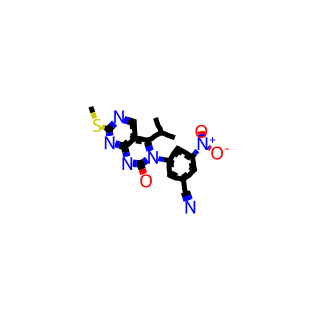 CSc1ncc2c(C(C)C)n(-c3cc(C#N)cc([N+](=O)[O-])c3)c(=O)nc2n1